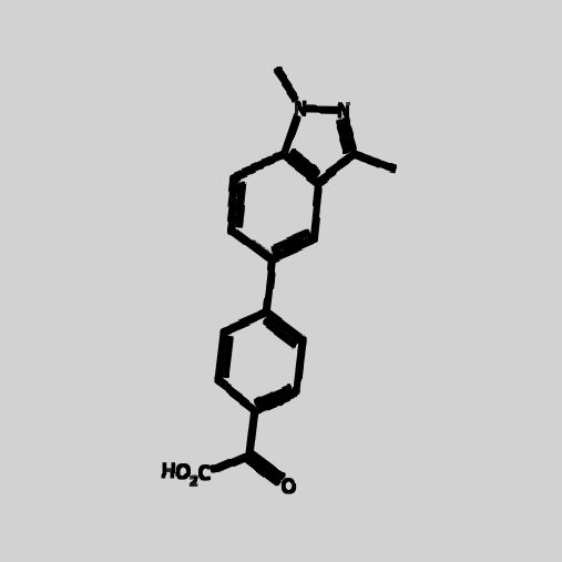 Cc1nn(C)c2ccc(-c3ccc(C(=O)C(=O)O)cc3)cc12